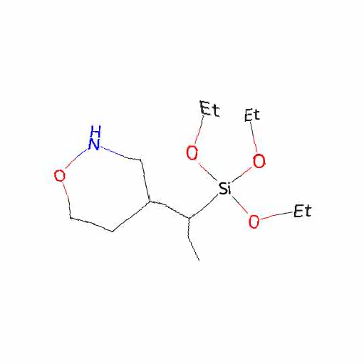 CCO[Si](OCC)(OCC)C(C)C1CCONC1